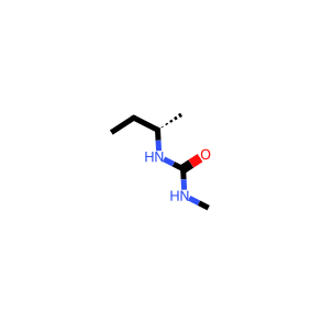 CC[C@H](C)NC(=O)NC